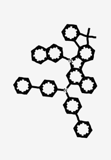 CC1(C)c2ccccc2-c2c1ccc1c3c4ccccc4c(N(c4ccc(-c5ccccc5)cc4)c4ccc(-c5ccccc5)cc4)cc3n(-c3ccc4ccccc4c3)c21